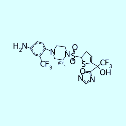 C[C@@H]1CN(c2ccc(N)cc2C(F)(F)F)CCN1S(=O)(=O)C1CC=C(C(O)(c2ncno2)C(F)(F)F)S1